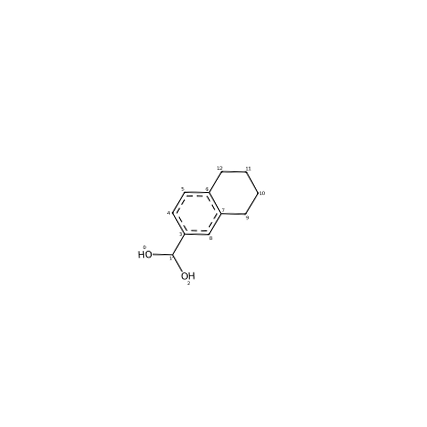 O[C](O)c1ccc2c(c1)CCCC2